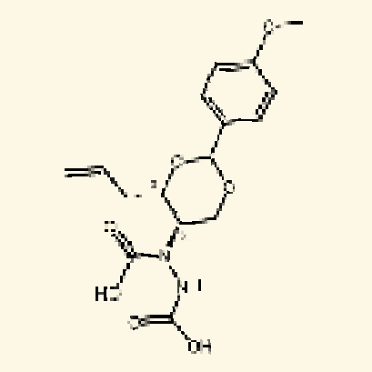 C=CC[C@@H]1OC(c2ccc(OC)cc2)OC[C@H]1N(NC(=O)O)C(=O)O